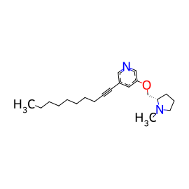 CCCCCCCCC#Cc1cncc(OC[C@@H]2CCCN2C)c1